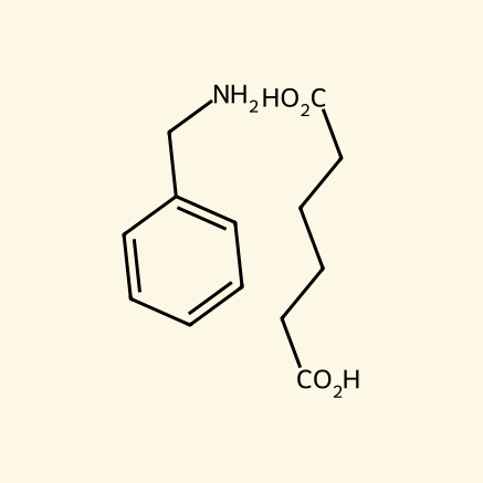 NCc1ccccc1.O=C(O)CCCCC(=O)O